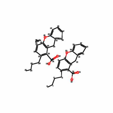 CCCCc1ccc2c(c1C(=O)[O-])Cc1ccccc1O2.CCCCc1ccc2c(c1C(=O)[O-])Cc1ccccc1O2.[Zn+2]